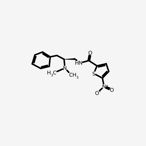 CN(C)[C@H](CNC(=O)c1ccc([N+](=O)[O-])s1)Cc1ccccc1